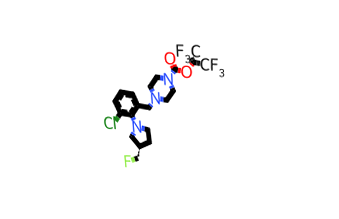 O=C(OC(C(F)(F)F)C(F)(F)F)N1CCN(Cc2cccc(Cl)c2N2CC[C@H](CF)C2)CC1